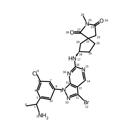 CC(N)c1cc(Cl)cc(-n2nc(Br)c3cnc(N[C@@H]4CCC5(CC(=O)N(C)C5=O)C4)nc32)c1